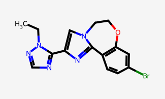 CCn1ncnc1-c1cn2c(n1)-c1ccc(Br)cc1OCC2